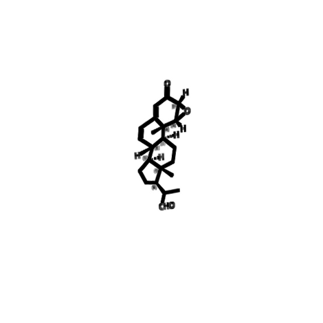 CC(C=O)[C@H]1CC[C@H]2[C@@H]3C=CC4=CC(=O)[C@@H]5O[C@@H]5[C@]4(C)[C@H]3CC[C@]12C